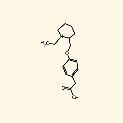 CCN1CCCCC1COc1ccc(CC(C)=O)cc1